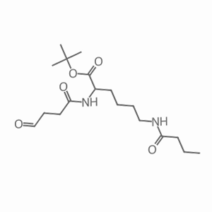 CCCC(=O)NCCCCC(NC(=O)CCC=O)C(=O)OC(C)(C)C